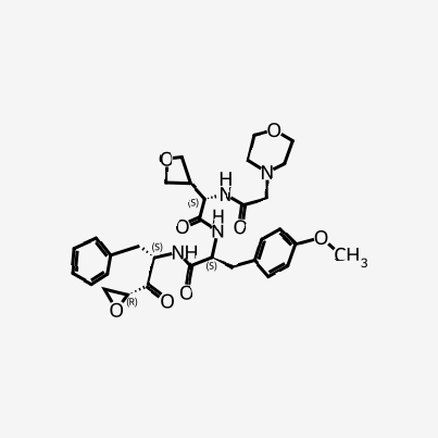 COc1ccc(C[C@H](NC(=O)[C@@H](NC(=O)CN2CCOCC2)C2COC2)C(=O)N[C@@H](Cc2ccccc2)C(=O)[C@H]2CO2)cc1